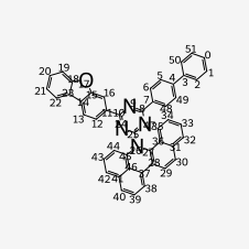 c1ccc(-c2ccc(-c3nc(-c4ccc5c(c4)oc4ccccc45)nc(N4c5c(ccc6ccccc56)-c5cccc6cccc4c56)n3)cc2)cc1